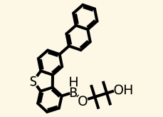 CC(C)(O)C(C)(C)OBc1cccc2sc3ccc(-c4ccc5ccccc5c4)cc3c12